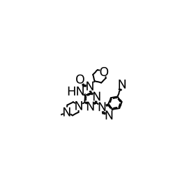 CN1CCN(c2nc(-n3cnc4ccc(C#N)cc43)nc3c2[nH]c(=O)n3C2CCOCC2)CC1